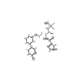 C[C@H](O[Si](C)(C)C(C)(C)C)[C@@H](CCOc1cccc(-c2ccc(Cl)nc2)c1)NC(=O)c1c[nH]cn1